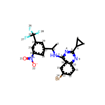 CC(Nc1nc(C2CC2)nc2ccc(Br)cc12)c1cc([N+](=O)[O-])cc(C(F)(F)F)c1